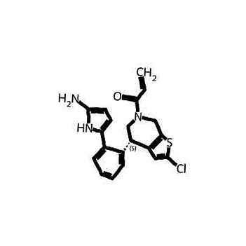 C=CC(=O)N1Cc2sc(Cl)cc2[C@H](c2ccccc2-c2ccc(N)[nH]2)C1